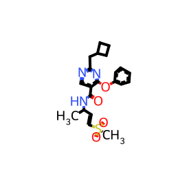 CC(C=CS(C)(=O)=O)NC(=O)c1cnc(CC2CCC2)nc1Oc1ccccc1